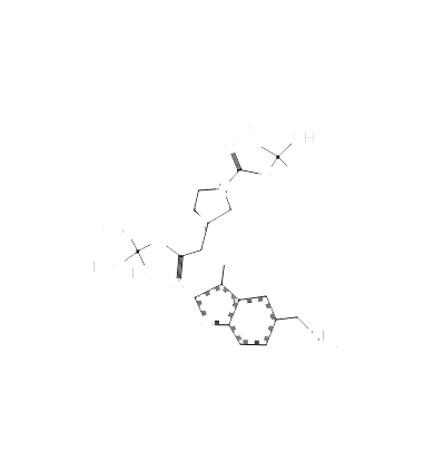 CC(C)(C)OC(=O)[C@@H](Cc1coc2ccc(CN)cc12)[C@H]1CCN(C(=O)OC(C)(C)C)C1